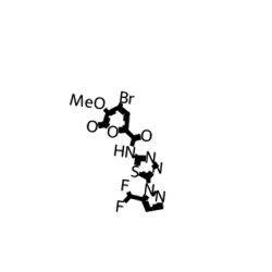 COc1c(Br)cc(C(=O)Nc2nnc(-n3nccc3C(F)F)s2)oc1=O